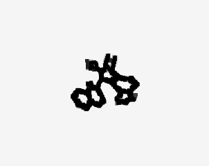 Oc1[nH]c2ccc3ncsc3c2c1-c1ccc2ccccc2n1